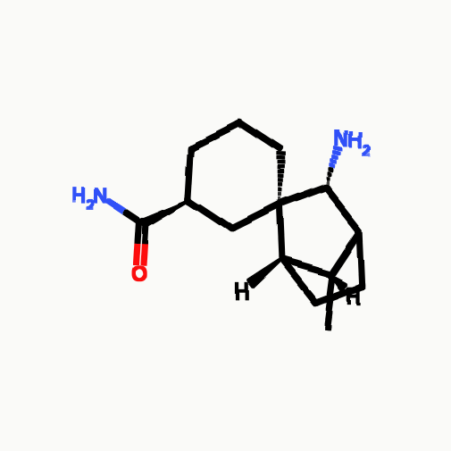 C[C@H]1C2CC[C@@H]1[C@]1(CCC[C@H](C(N)=O)C1)[C@@H]2N